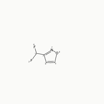 FC(F)c1[c]con1